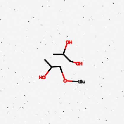 CC(O)CO.CC(O)COC(C)(C)C